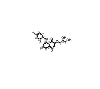 Cn1cc(OC[C@@H](O)CO)c(=O)c2c(Nc3ccc(I)cc3F)cc(F)cc21